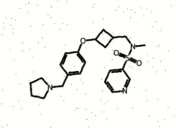 CN(CC1CC(Oc2ccc(CN3CCCC3)cc2)C1)S(=O)(=O)c1cccnc1